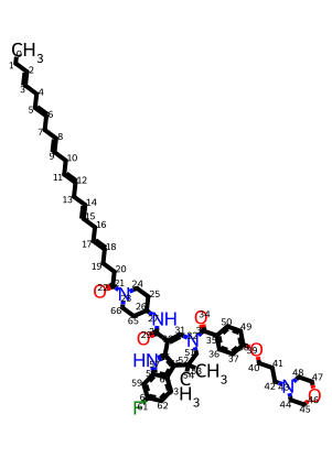 CCC=CCC=CCC=CCC=CCC=CCC=CCCC(=O)N1CCC(NC(=O)C2=CN(C(=O)c3ccc(OCCCN4CCOCC4)cc3)CC(C)(C)c3c2[nH]c2cc(F)ccc32)CC1